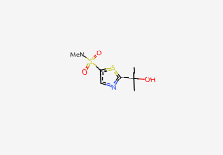 CNS(=O)(=O)c1cnc(C(C)(C)O)s1